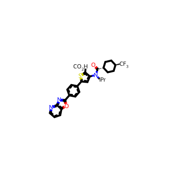 CC(C)N(c1cc(-c2ccc(-c3nc4ncccc4o3)cc2)sc1C(=O)O)C(=O)[C@H]1CC[C@H](C(F)(F)F)CC1